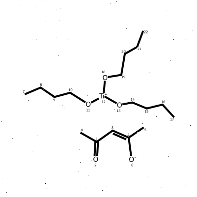 CC(=O)/C=C(/C)[O-].CCCC[O][Ti+]([O]CCCC)[O]CCCC